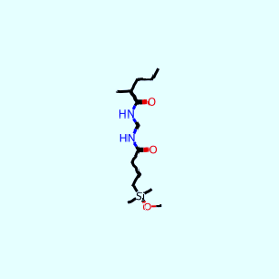 CCCC(C)C(=O)NCNC(=O)CCC[Si](C)(C)OC